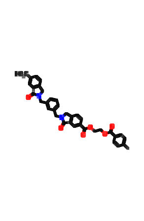 Cc1ccc(C(=O)OCCOC(=O)c2ccc3c(c2)C(=O)N(Cc2cccc(CN4Cc5ccc(C(=O)O)cc5C4=O)c2)C3)cc1